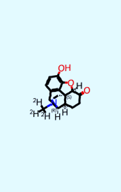 [2H]C([2H])([2H])N1CC[C@]23c4c5ccc(O)c4O[C@H]2C(=O)CC[C@H]3[C@H]1C5